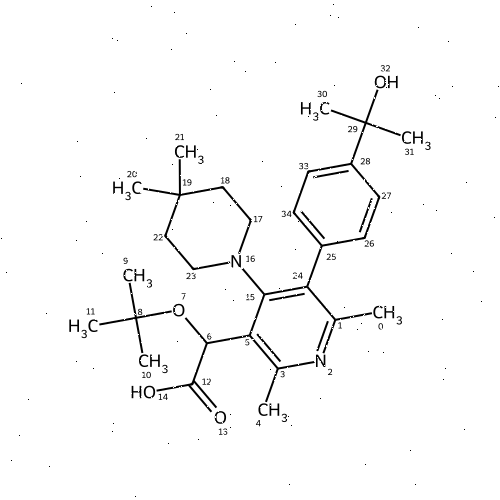 Cc1nc(C)c(C(OC(C)(C)C)C(=O)O)c(N2CCC(C)(C)CC2)c1-c1ccc(C(C)(C)O)cc1